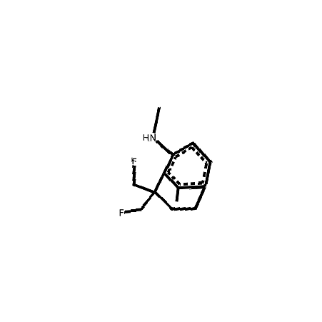 CNc1ccc2c(C)c1C(CF)(CF)CC2